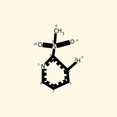 [2H]c1cccnc1S(C)(=O)=O